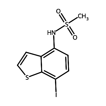 CS(=O)(=O)Nc1ccc(I)c2sccc12